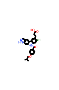 CC(C)COc1ccc(C(=O)Nc2cc(Cl)c(CCC(=O)O)cc2-c2ccc3[nH]ncc3c2)cc1